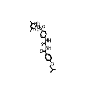 Cc1cc(C)nc(NS(=O)(=O)c2ccc(NC(=S)NC(=O)c3ccc(OCC(C)C)cc3)cc2)n1